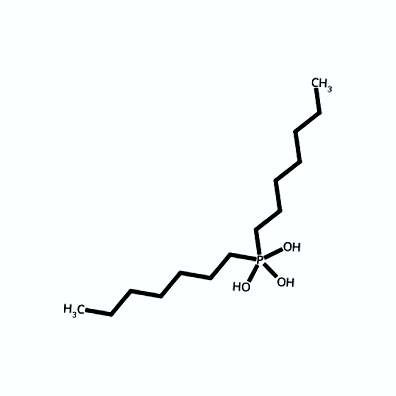 CCCCCCCP(O)(O)(O)CCCCCCC